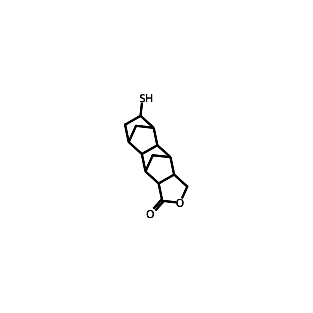 O=C1OCC2C3CC(C12)C1C2CC(S)C(C2)C31